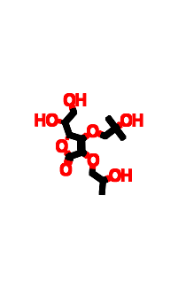 CC(O)COC1=C(OCC(C)(C)O)[C@@H]([C@@H](O)CO)OC1=O